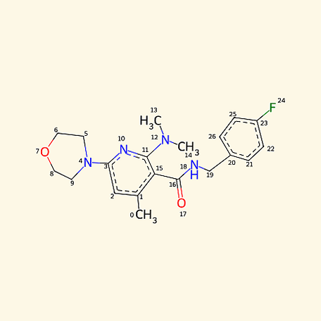 Cc1cc(N2CCOCC2)nc(N(C)C)c1C(=O)NCc1ccc(F)cc1